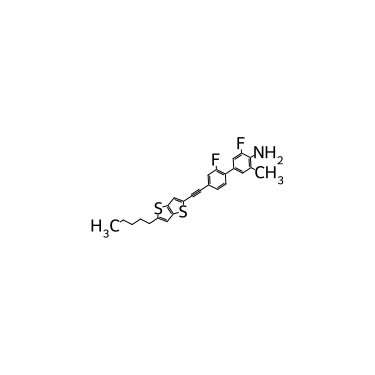 CCCCCc1cc2sc(C#Cc3ccc(-c4cc(C)c(N)c(F)c4)c(F)c3)cc2s1